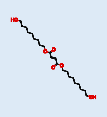 O=C(C=CC(=O)OCCCCCCCCCO)OCCCCCCCCCO